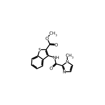 COC(=O)c1sc2ccccc2c1NC(=O)c1nccn1C